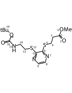 COC(=O)CCSc1nccnc1SCCNC(=O)OC(C)(C)C